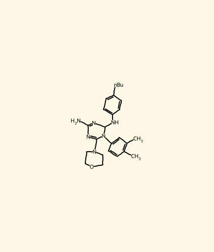 CCCCc1ccc(NC2N=C(N)N=C(N3CCOCC3)N2c2ccc(C)c(C)c2)cc1